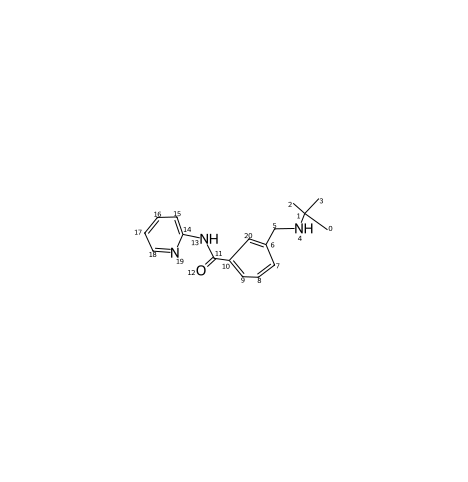 CC(C)(C)NCc1cccc(C(=O)Nc2ccccn2)c1